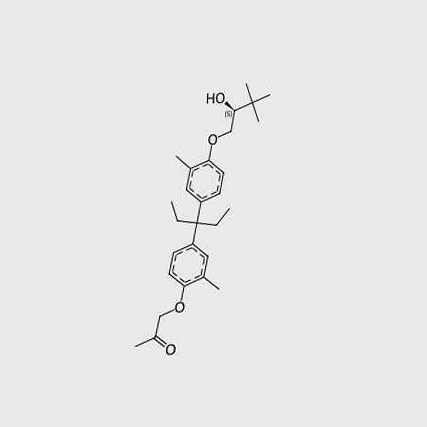 CCC(CC)(c1ccc(OCC(C)=O)c(C)c1)c1ccc(OC[C@@H](O)C(C)(C)C)c(C)c1